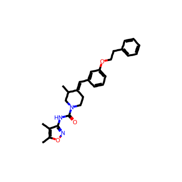 Cc1onc(NC(=O)N2CCC(=Cc3cccc(OCCc4ccccc4)c3)C(C)C2)c1C